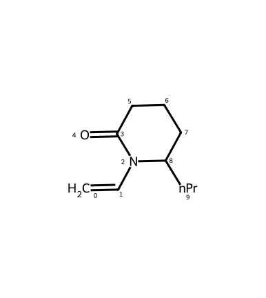 C=CN1C(=O)CCCC1CCC